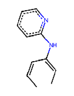 C/C=C\C(=C/C)Nc1ccccn1